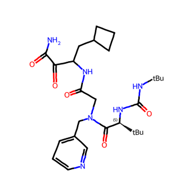 CC(C)(C)NC(=O)N[C@H](C(=O)N(CC(=O)NC(CC1CCC1)C(=O)C(N)=O)Cc1cccnc1)C(C)(C)C